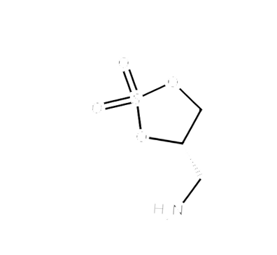 NC[C@H]1COS(=O)(=O)O1